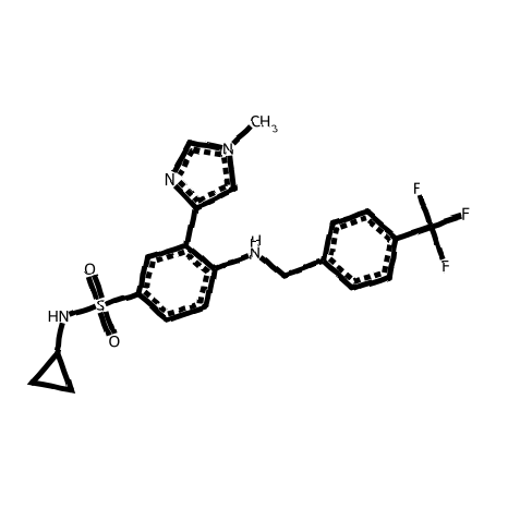 Cn1cnc(-c2cc(S(=O)(=O)NC3CC3)ccc2NCc2ccc(C(F)(F)F)cc2)c1